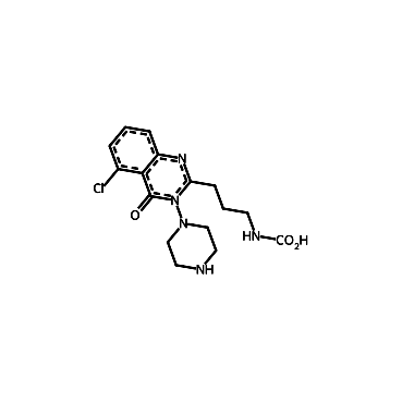 O=C(O)NCCCc1nc2cccc(Cl)c2c(=O)n1N1CCNCC1